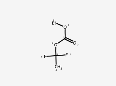 CCOC(=O)OC(C)(F)F